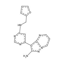 Nc1nn2cccnc2c1-c1cc(NCc2ccco2)ncn1